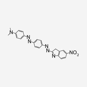 CN(C)c1ccc(N=Nc2ccc(N=NC3=Nc4ccc([N+](=O)[O-])cc4C3)cc2)cc1